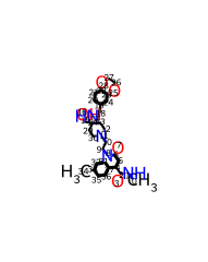 CNC(=O)c1cc(=O)n(CCN2CCC(CO)(NCc3ccc4c(c3)OCCO4)CC2)c2cc(C)ccc12